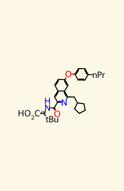 CCCc1ccc(Oc2ccc3cc(C(=O)N[C@H](C(=O)O)C(C)(C)C)nc(CC4CCCC4)c3c2)cc1